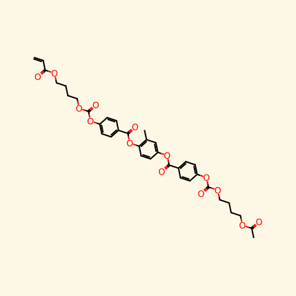 C=CC(=O)OCCCCOC(=O)Oc1ccc(C(=O)Oc2ccc(OC(=O)c3ccc(OC(=O)OCCCCOC(C)=O)cc3)cc2C)cc1